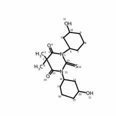 CC1(C)C(=O)N(C2CCCC(O)C2)C(=S)N(C2CCCC(O)C2)C1=O